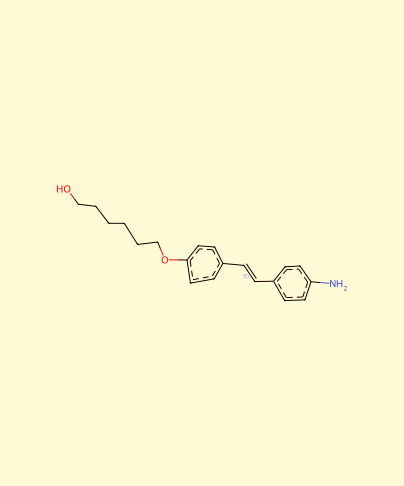 Nc1ccc(/C=C/c2ccc(OCCCCCCO)cc2)cc1